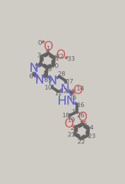 COc1cc2ncnc(N3CCN(C(=O)NCC4COc5ccccc5O4)CC3)c2cc1OC